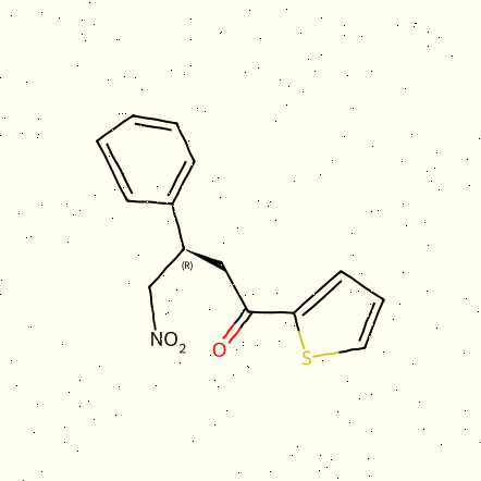 O=C(C[C@@H](C[N+](=O)[O-])c1ccccc1)c1cccs1